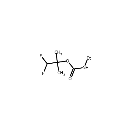 CCNC(=O)OC(C)(C)C(F)F